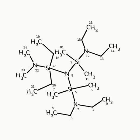 CCN(CC)[Si](C)(C)N([Si](C)(C)N(CC)CC)[Si](CC)(CC)N(C)C